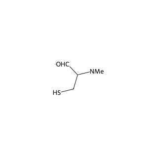 CNC([C]=O)CS